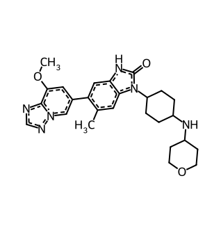 COc1cc(-c2cc3[nH]c(=O)n(C4CCC(NC5CCOCC5)CC4)c3cc2C)cn2ncnc12